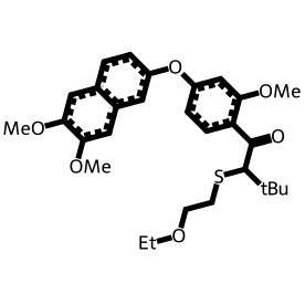 CCOCCSC(C(=O)c1ccc(Oc2ccc3cc(OC)c(OC)cc3c2)cc1OC)C(C)(C)C